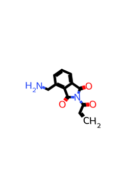 C=CC(=O)N1C(=O)c2cccc(CN)c2C1=O